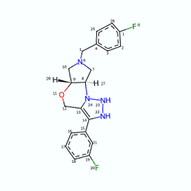 Fc1ccc(CN2C[C@@H]3[C@@H](C2)OCC2=C(c4cccc(F)c4)NNN23)cc1